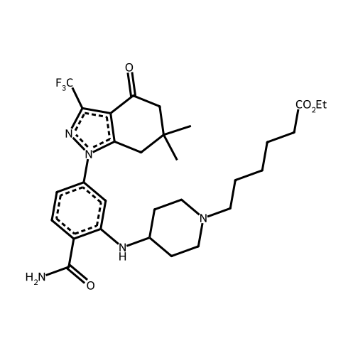 CCOC(=O)CCCCCN1CCC(Nc2cc(-n3nc(C(F)(F)F)c4c3CC(C)(C)CC4=O)ccc2C(N)=O)CC1